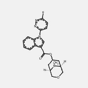 CN1[C@@H]2COC[C@H]1CC(OC(=O)c1cn(-c3ccc(F)nn3)c3ccccc13)C2